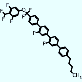 CCCCCc1ccc(-c2ccc(-c3ccc(-c4ccc(C(F)(F)Oc5cc(F)c(C(F)F)c(F)c5)cc4)c(F)c3)c(F)c2)cc1